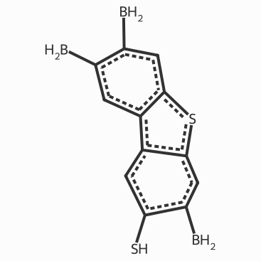 Bc1cc2sc3cc(B)c(S)cc3c2cc1B